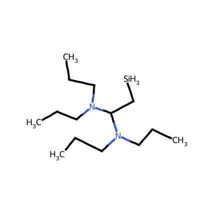 CCCN(CCC)C(C[SiH3])N(CCC)CCC